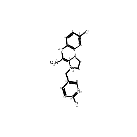 O=[N+]([O-])C(Sc1ccc(Cl)cc1)=C1NCCN1Cc1ccc(Cl)nc1